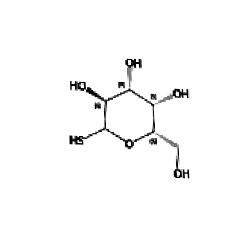 OC[C@@H]1OC(S)[C@@H](O)[C@H](O)[C@@H]1O